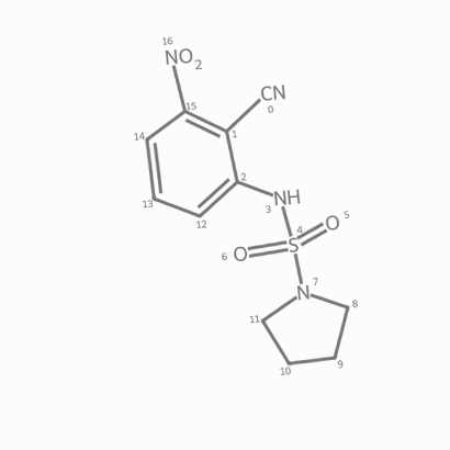 N#Cc1c(NS(=O)(=O)N2CCCC2)cccc1[N+](=O)[O-]